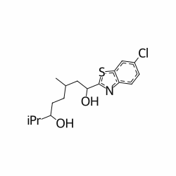 CC(CCC(O)C(C)C)CC(O)c1nc2ccc(Cl)cc2s1